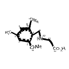 COc1cc(C)cc(OC)c1CNCC(=O)O